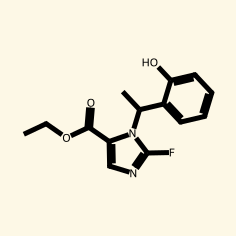 CCOC(=O)c1cnc(F)n1C(C)c1ccccc1O